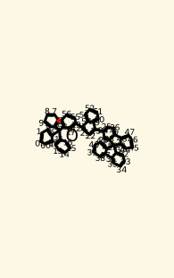 c1ccc(C2(c3ccccc3)c3ccccc3Oc3c(-c4ccc(-c5ccc6c(c5)C5(c7ccccc7-c7ccccc75)c5ccccc5-6)c5ccccc45)cccc32)cc1